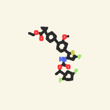 CCOC(=O)C1(c2ccc(-c3ccc(-c4sc(F)cc4NC(=O)OC(C)c4cc(F)ccc4F)cc3OC)cc2)CC1